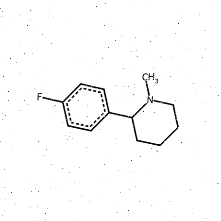 CN1CCCCC1c1ccc(F)cc1